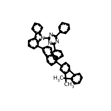 CC1(C)c2ccccc2-c2ccc(-c3ccc4cc(-c5cccc6c7ccccc7n(-c7nc(-c8ccccc8)nc(-c8ccccc8)n7)c56)ccc4c3)cc21